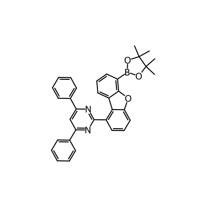 CC1(C)OB(c2cccc3c2oc2cccc(-c4nc(-c5ccccc5)cc(-c5ccccc5)n4)c23)OC1(C)C